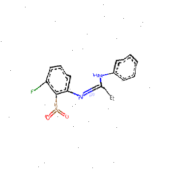 CC/C(=N/c1cccc(F)c1[SH](=O)=O)Nc1ccccc1